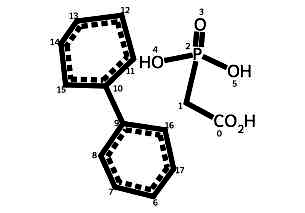 O=C(O)CP(=O)(O)O.c1ccc(-c2ccccc2)cc1